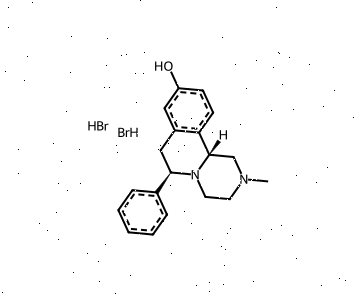 Br.Br.CN1CCN2[C@@H](c3ccccc3)Cc3cc(O)ccc3[C@@H]2C1